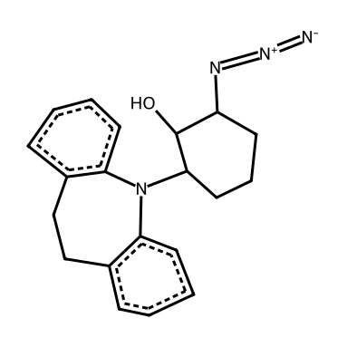 [N-]=[N+]=NC1CCCC(N2c3ccccc3CCc3ccccc32)C1O